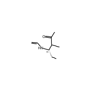 C=CN[C@@H](CC)C(C)C(C)=O